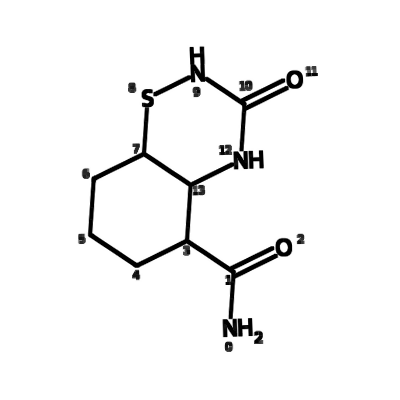 NC(=O)C1CCCC2SNC(=O)NC21